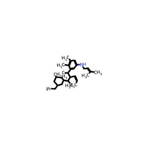 C/C=C\C(C(C)c1cc(NCC=C(C)C)cc(C)c1C)C(C)C1CC(C)CC(CC(C)C)C1